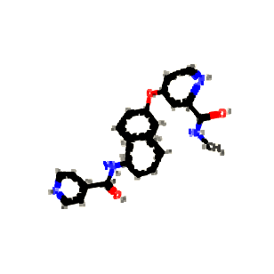 CNC(=O)c1cc(Oc2ccc3c(NC(=O)c4ccncc4)cccc3c2)ccn1